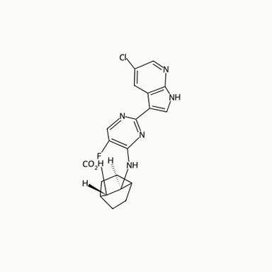 O=C(O)[C@H]1C2CCC(CC2)[C@@H]1Nc1nc(-c2c[nH]c3ncc(Cl)cc23)ncc1F